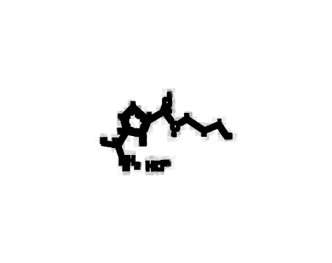 CCCCOC(=O)c1ccc(C(C)N)s1.Cl